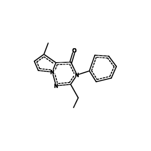 CCc1nn2ccc(C)c2c(=O)n1-c1ccccc1